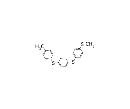 CSc1ccc(Sc2ccc(Sc3ccc(C)cc3)cc2)cc1